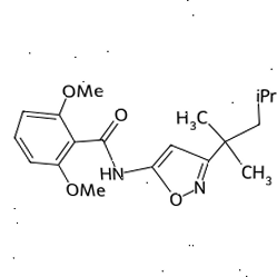 COc1cccc(OC)c1C(=O)Nc1cc(C(C)(C)CC(C)C)no1